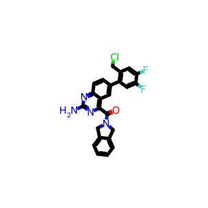 Nc1nc(C(=O)N2Cc3ccccc3C2)c2cc(-c3cc(F)c(F)cc3CCl)ccc2n1